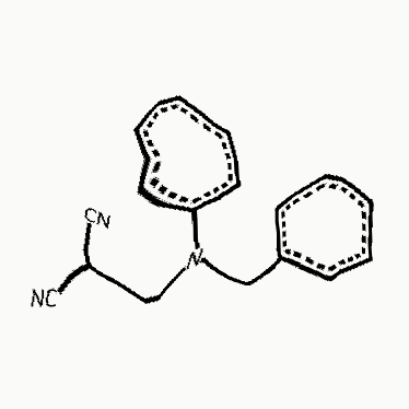 N#CC(C#N)CN(Cc1ccccc1)c1ccccc1